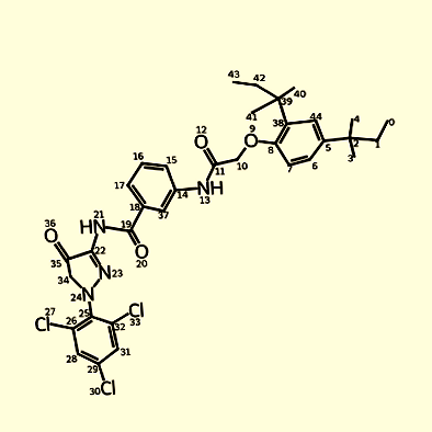 CCC(C)(C)c1ccc(OCC(=O)Nc2cccc(C(=O)NC3=NN(c4c(Cl)cc(Cl)cc4Cl)CC3=O)c2)c(C(C)(C)CC)c1